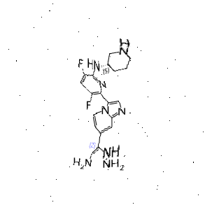 N/C=C(\NN)c1ccn2c(-c3nc(N[C@H]4CCCNC4)c(F)cc3F)cnc2c1